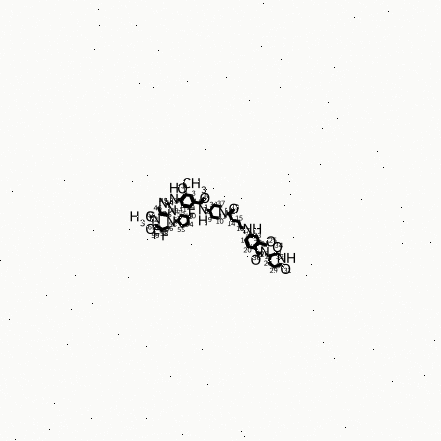 COc1cc(C(=O)NC2CCN(C(=O)CCCNc3ccc4c(c3)C(=O)N(C3CCC(=O)NC3=O)C4=O)CC2)c(F)cc1Nc1ncc2c(n1)N(C1CCCC1)CC(F)(F)C(=O)N2C